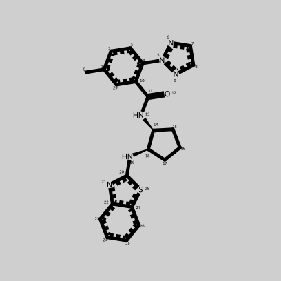 Cc1ccc(-n2nccn2)c(C(=O)N[C@H]2CCC[C@H]2Nc2nc3ccccc3s2)c1